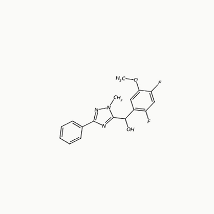 COc1cc(C(O)c2nc(-c3ccccc3)nn2C)c(F)cc1F